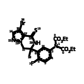 CCOC(=O)N(C(=O)OCC)c1ccc(F)c(C2(C)Cn3ncc(Br)c3C(=S)N2)c1